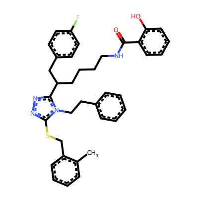 Cc1ccccc1CSc1nnc(C(CCCCNC(=O)c2ccccc2O)Cc2ccc(F)cc2)n1CCc1ccccc1